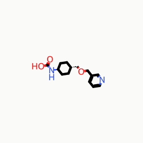 O=C(O)N[C@H]1CC[C@H](COCc2cccnc2)CC1